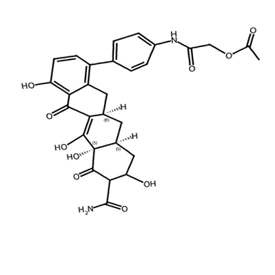 CC(=O)OCC(=O)Nc1ccc(-c2ccc(O)c3c2C[C@H]2C[C@H]4CC(O)C(C(N)=O)C(=O)[C@@]4(O)C(O)=C2C3=O)cc1